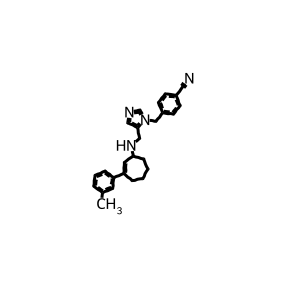 Cc1cccc(C2=CC(NCc3cncn3Cc3ccc(C#N)cc3)CCCC2)c1